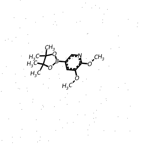 COc1cc(B2OC(C)(C)C(C)(C)O2)cnc1OC